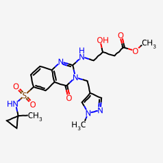 COC(=O)CC(O)CNc1nc2ccc(S(=O)(=O)NC3(C)CC3)cc2c(=O)n1Cc1cnn(C)c1